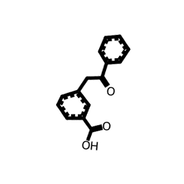 O=C(O)c1cccc(CC(=O)c2ccccc2)c1